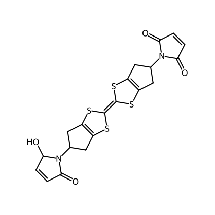 O=C1C=CC(=O)N1C1CC2=C(C1)SC(=C1SC3=C(CC(N4C(=O)C=CC4O)C3)S1)S2